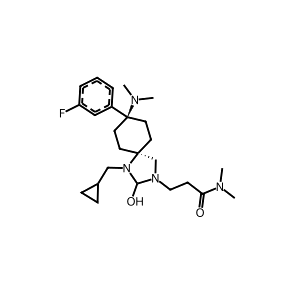 CN(C)C(=O)CCN1C[C@]2(CC[C@](c3cccc(F)c3)(N(C)C)CC2)N(CC2CC2)C1O